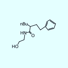 CCCCC(CCc1ccccc1)C(=O)NCCO